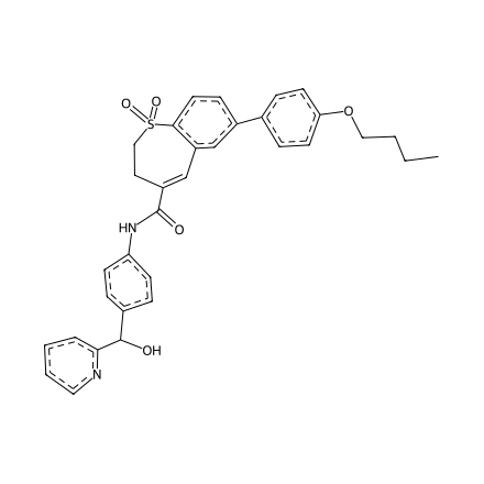 CCCCOc1ccc(-c2ccc3c(c2)C=C(C(=O)Nc2ccc(C(O)c4ccccn4)cc2)CCS3(=O)=O)cc1